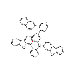 c1cc(-c2ccccc2-c2ccc3ccccc3c2)cc(N(c2ccc3c(c2)oc2ccccc23)c2ccccc2-c2cccc3c2oc2ccccc23)c1